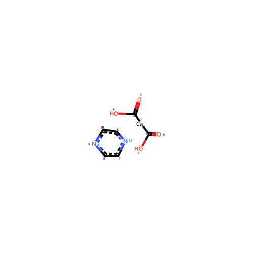 O=[C](O)[Ca][C](=O)O.c1cnccn1